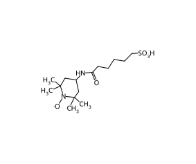 CC1(C)CC(NC(=O)CCCCCS(=O)(=O)O)CC(C)(C)N1[O]